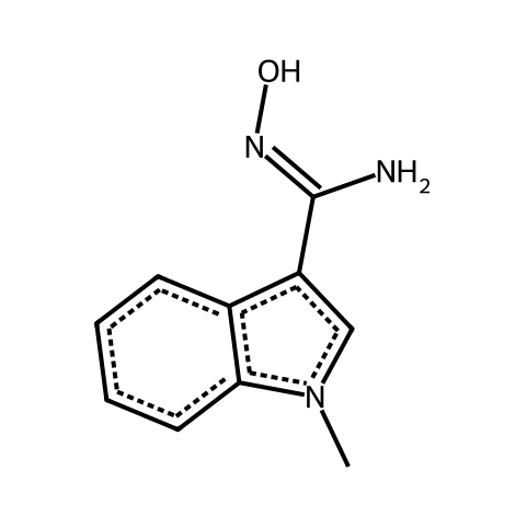 Cn1cc(C(N)=NO)c2ccccc21